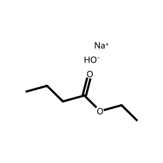 CCCC(=O)OCC.[Na+].[OH-]